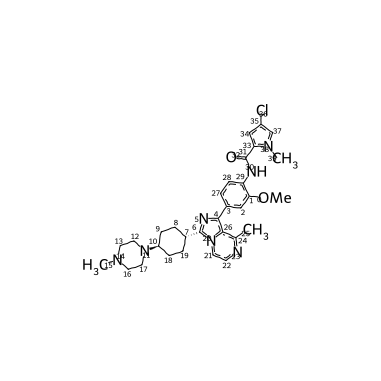 COc1cc(-c2nc([C@H]3CC[C@H](N4CCN(C)CC4)CC3)n3ccnc(C)c23)ccc1NC(=O)c1cc(Cl)cn1C